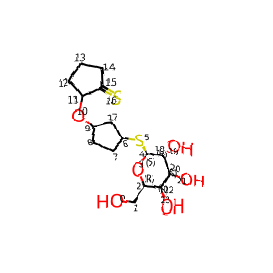 OC[C@H]1O[C@@H](SC2CCC(OC3CCCC3=S)C2)[C@H](O)[C@@H](O)[C@H]1O